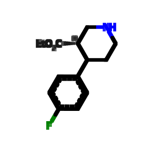 CCOC(=O)[C@@H]1CNCCC1c1ccc(F)cc1